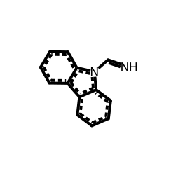 N=Cn1c2ccccc2c2ccccc21